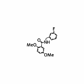 COc1ccc(OC)c(C(=O)NCc2cccc(F)c2)c1